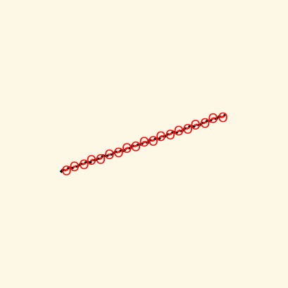 C=COCCOCCOCCOCCOCCOCCOCCOCCOCCOCCOCCOCCOCCOCCOCCOCCOCCOCCOC